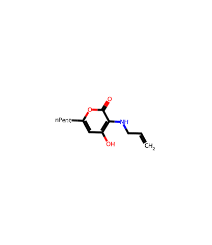 C=CCNc1c(O)cc(CCCCC)oc1=O